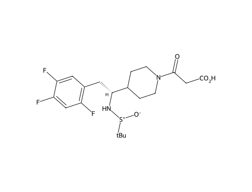 CC(C)(C)[S+]([O-])N[C@H](Cc1cc(F)c(F)cc1F)C1CCN(C(=O)CC(=O)O)CC1